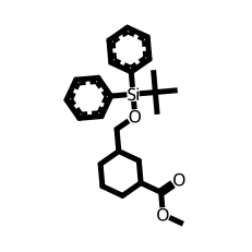 COC(=O)C1CCCC(CO[Si](c2ccccc2)(c2ccccc2)C(C)(C)C)C1